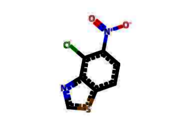 O=[N+]([O-])c1ccc2scnc2c1Cl